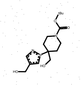 CC(C)(C)OC(=O)N1CCC(CO)(n2cc(CO)cn2)CC1